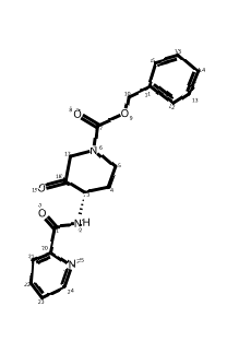 O=C(N[C@H]1CCN(C(=O)OCc2ccccc2)CC1=O)c1ccccn1